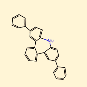 c1ccc(-c2ccc3c(c2)-c2ccccc2-c2cc(-c4ccccc4)ccc2N3)cc1